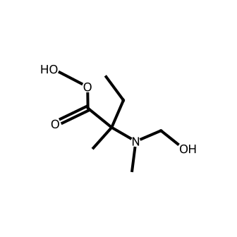 CCC(C)(C(=O)OO)N(C)CO